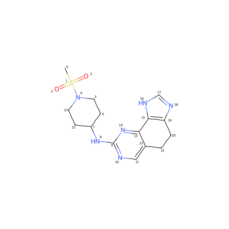 CS(=O)(=O)N1CCC(Nc2ncc3c(n2)-c2[nH]cnc2CC3)CC1